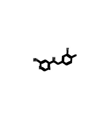 Cc1ccc(CNc2cc(C(C)C)ncn2)cc1F